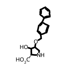 O=C(O)[C@H]1NCC(OCc2ccc(-c3ccccc3)cc2)C1O